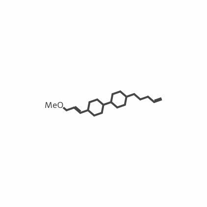 C=CCCCC1CCC(C2CCC(C=CCOC)CC2)CC1